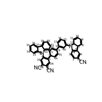 N#Cc1ccc2c(c1)C1C=CC=CC1N2c1cccc(C2=CCC(c3cc(C#N)c(C#N)cc3-n3c4ccccc4c4ccccc43)C=C2)c1